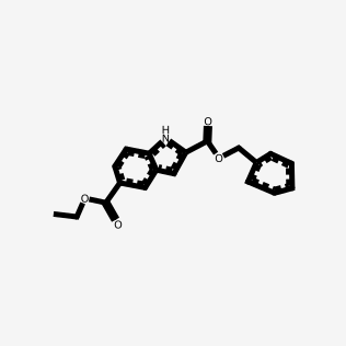 CCOC(=O)c1ccc2[nH]c(C(=O)OCc3ccccc3)cc2c1